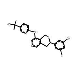 CC(C)(O)c1ccc(Nc2cncc3c2CNC(c2cc(Cl)cc(C#N)c2)C3)nc1